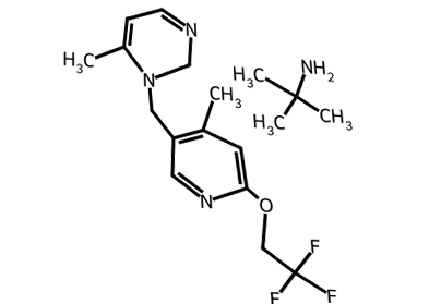 CC(C)(C)N.CC1=CC=NCN1Cc1cnc(OCC(F)(F)F)cc1C